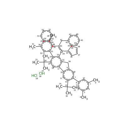 Cc1cc(C)cc(-c2cc3c(cc2C(C)(C)C)-c2cc(C(C)(C)C)c(-c4cc(C)cc(C)c4)[c]([Zr]([C]4=CC=CC4)=[C](Cc4ccccc4)Cc4ccccc4)c2C3)c1.Cl.Cl